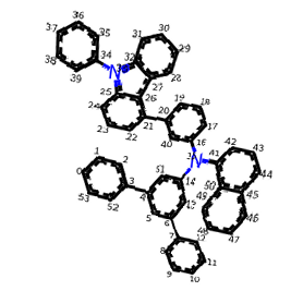 c1ccc(-c2cc(-c3ccccc3)cc(N(c3cccc(-c4cccc5c4c4ccccc4n5-c4ccccc4)c3)c3cccc4ccccc34)c2)cc1